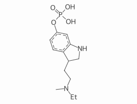 CCN(C)CCC1CNc2cc(OP(=O)(O)O)ccc21